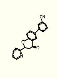 N#Cc1cccc(-c2ccc3c(c2)C(=O)CC(c2ccccn2)O3)c1